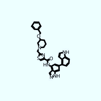 O=C(Nc1cc(-c2cccc3[nH]ccc23)cc2[nH]ncc12)c1csc(CN2CCCC(OCc3ccccc3)C2)n1